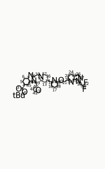 CC(C)(C)OC(=O)c1ccc2nc(CN3CCC(c4cccc(OCc5ccc6cnn(CC(F)F)c6n5)n4)CC3)n(CC3CCO3)c2c1